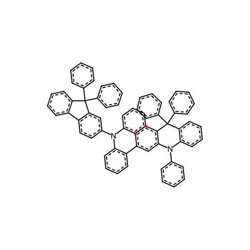 c1ccc(N(c2ccc3c(c2)C(c2ccccc2)(c2ccccc2)c2ccccc2-3)c2ccccc2-c2ccc3c(c2)N(c2ccccc2)c2ccccc2C3(c2ccccc2)c2ccccc2)cc1